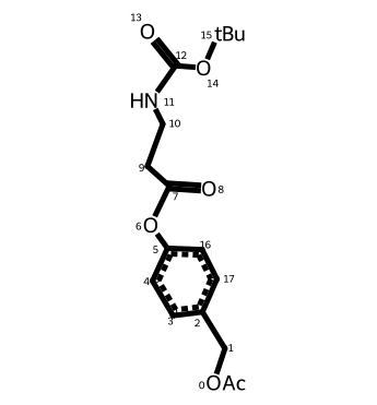 CC(=O)OCc1ccc(OC(=O)CCNC(=O)OC(C)(C)C)cc1